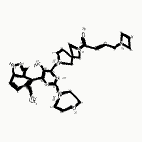 Cc1ccc2[nH]ncc2c1-c1nc(N2CCOCC2)nc(N2CCC3(CN(C(=O)C=CCN4CCC4)C3)C2)c1C#N